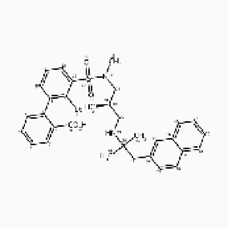 CCc1c(-c2ccccc2C(=O)O)cccc1S(=O)(=O)N(C)C[C@H](O)CNC(C)(C)Cc1ccc2ccccc2c1